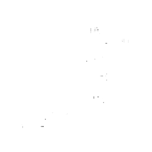 Cl.N=C(N)c1ccc(OCCCCBr)cc1